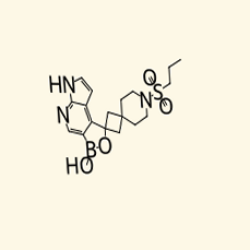 CCCS(=O)(=O)N1CCC2(CC1)CC1(C2)OB(O)c2cnc3[nH]ccc3c21